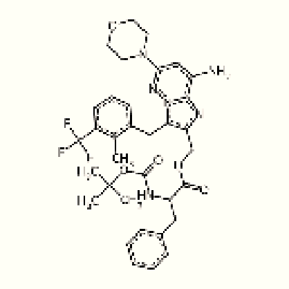 Cc1c(Cc2c(COC(=O)C(Cc3ccccc3)NC(=O)OC(C)(C)C)nc3c(N)cc(N4CCOCC4)nn23)cccc1C(F)(F)F